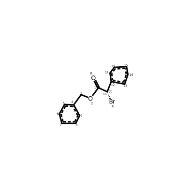 O=C(OCc1ccccc1)[C@@H](Br)c1ccccc1